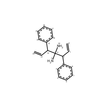 C=CC(c1ccccc1)C(N)(N)C(C=C)c1ccccc1